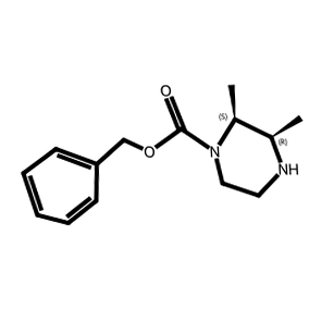 C[C@H]1NCCN(C(=O)OCc2ccccc2)[C@H]1C